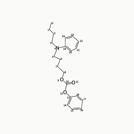 CCCCN(CCCCOC(=O)Oc1ccccc1)c1ccccc1